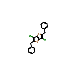 Brc1c(Cc2ccccc2)sc2c(Br)c(Cc3ccccc3)sc12